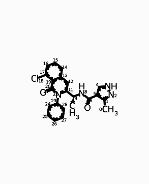 Cc1n[nH]cc1C(=O)N[C@@H](C)c1cc2cccc(Cl)c2c(=O)n1-c1ccccc1